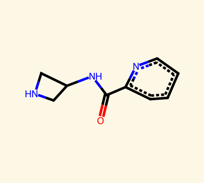 O=C(NC1CNC1)c1ccccn1